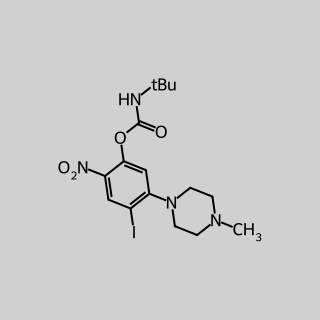 CN1CCN(c2cc(OC(=O)NC(C)(C)C)c([N+](=O)[O-])cc2I)CC1